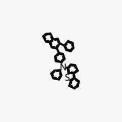 c1ccc(-c2cc3ccccc3cc2-c2ccc(N(c3ccccc3)c3cccc4c3sc3ccccc34)cc2)cc1